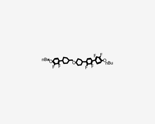 CCCCOc1ccc(-c2ccc(C3CCC(OCC4CCC(c5ccc(OCCCC)c(F)c5F)CC4)CC3)c(F)c2F)c(F)c1F